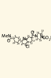 CNC(=O)c1ccc(-c2cc(Cl)c3ccc(C(=O)N4CCN(C(=O)O)C(C)C4)cc3n2)cc1